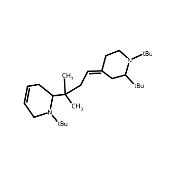 CC(C)(C)C1C/C(=C\CC(C)(C)C2CC=CCN2C(C)(C)C)CCN1C(C)(C)C